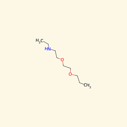 CCCOCCOCCNCC